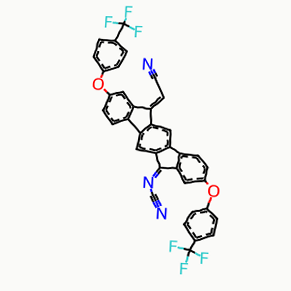 N#C/C=C1\c2cc(Oc3ccc(C(F)(F)F)cc3)ccc2-c2cc3c(cc21)-c1ccc(Oc2ccc(C(F)(F)F)cc2)cc1/C3=N\C#N